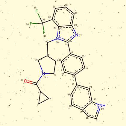 O=C(C1CC1)N1CCC(Cn2c(-c3ccc(-c4ccc5cc[nH]c5c4)cc3)nc3cccc(C(F)(F)F)c32)C1